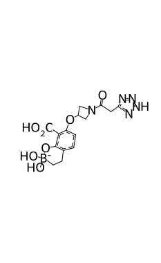 O=C(O)c1c(OC2CN(C(=O)Cc3nn[nH]n3)C2)ccc2c1O[B-](O)(O)CC2